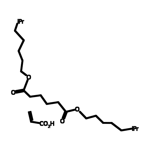 C=CC(=O)O.CC(C)CCCCCOC(=O)CCCCC(=O)OCCCCCC(C)C